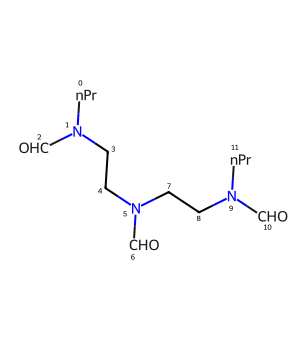 CCCN(C=O)CCN(C=O)CCN(C=O)CCC